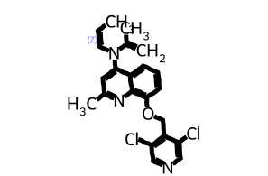 C=C(C)N(/C=C\C)c1cc(C)nc2c(OCc3c(Cl)cncc3Cl)cccc12